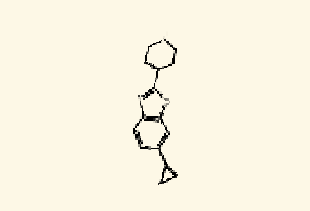 c1cc2nc(C3CCNCC3)oc2cc1C1CC1